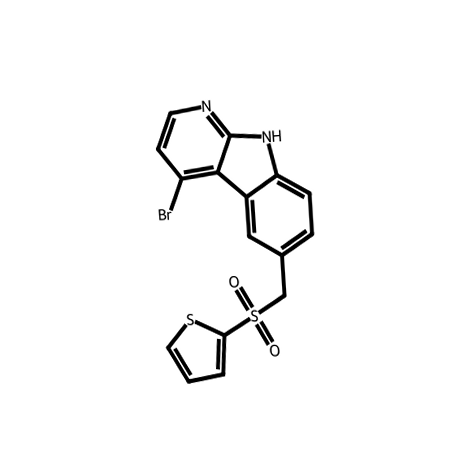 O=S(=O)(Cc1ccc2[nH]c3nccc(Br)c3c2c1)c1cccs1